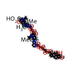 COc1c(N2CC3CCCN(C(=O)OCOC(=O)CCC(=O)OCC(=O)[C@H]4CCC5C6CCC7=CC(=O)C=C[C@]7(C)C6[C@@H](O)C[C@@]54C)C3C2)c(F)cc2c(=O)c(C(=O)OCOC(=O)N3CCN(c4c(F)cc5c(=O)c(C(=O)O)cn(C6CC6)c5c4OC)C(C)C3)cn(C3CC3)c12